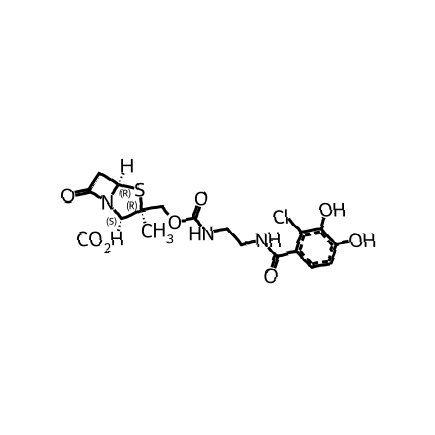 C[C@@]1(COC(=O)NCCNC(=O)c2ccc(O)c(O)c2Cl)S[C@@H]2CC(=O)N2[C@H]1C(=O)O